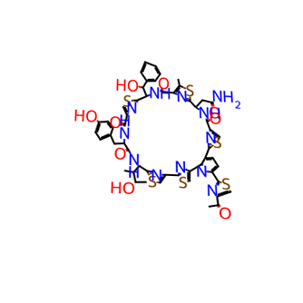 CC(=O)c1csc(-c2ccc3c(n2)-c2csc(n2)-c2csc(n2)C(C(C)C(C)O)NC(=O)C(Cc2ccc(O)cc2)NC(=O)c2csc(n2)C(C(O)c2ccccc2)NC(=O)c2nc(sc2C)C(CC(N)=O)NC(=O)c2csc-3n2)n1